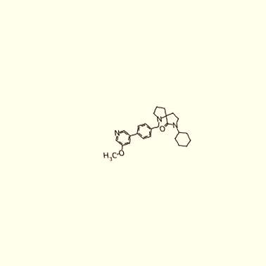 COc1cncc(-c2ccc(CN3CCCC34CCN(C3CCCCC3)C4=O)cc2)c1